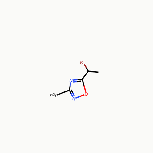 CCCc1noc(C(C)Br)n1